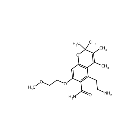 COCCOc1cc2c(c(CCN)c1C(N)=O)C(C)=C(C)C(C)(C)O2